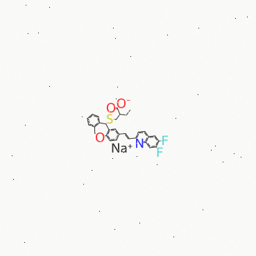 CCC(CSC1c2ccccc2COc2ccc(C=Cc3ccc4cc(F)c(F)cc4n3)cc21)C(=O)[O-].[Na+]